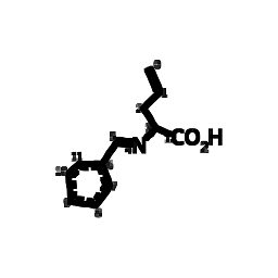 C=CCC(N=Cc1ccccc1)C(=O)O